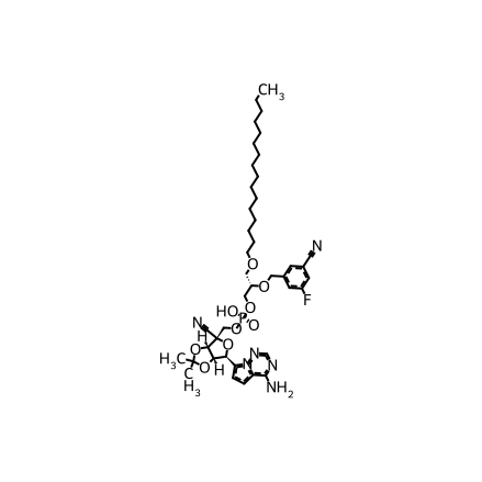 CCCCCCCCCCCCCCCCOC[C@@H](COP(=O)(O)OC[C@@]1(C#N)O[C@@H](c2ccc3c(N)ncnn23)[C@@H]2OC(C)(C)O[C@@H]21)OCc1cc(F)cc(C#N)c1